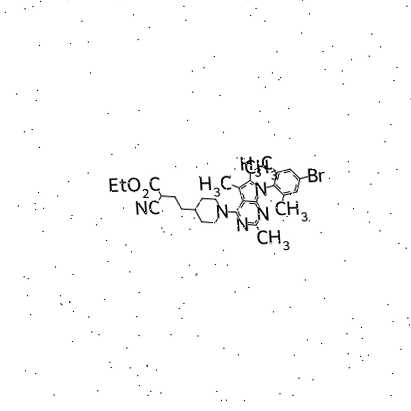 CCOC(=O)C(C#N)CCC1CCN(c2nc(C)nc3c2c(C)c(C)n3-c2c(C)cc(Br)cc2C)CC1